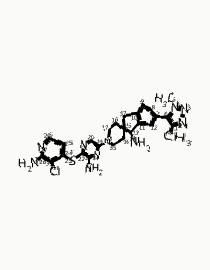 Cc1nnn(C)c1-c1ccc2c(c1)[C@@H](N)C1(CCN(c3cnc(Sc4ccnc(N)c4Cl)c(N)n3)CC1)C2